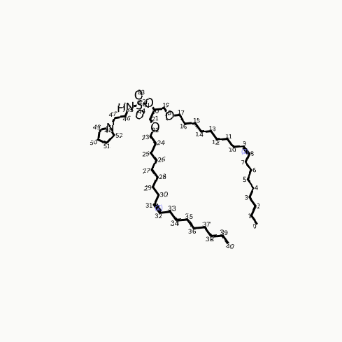 CCCCCCCC/C=C\CCCCCCCCOCC(COCCCCCCCC/C=C\CCCCCCCC)OS(=O)(=O)NCCN1CCCC1